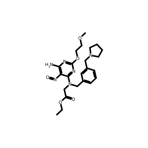 CCOC(=O)CN(Cc1cccc(CN2CCCC2)c1)c1nc(OCCOC)nc(N)c1N=O